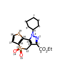 CCOC(=O)c1nn(C2CCCCC2)c2c1CS(=O)(=O)c1ccsc1-2